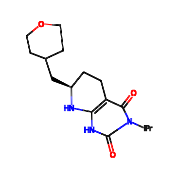 CC(C)n1c(=O)[nH]c2c(c1=O)CC[C@H](CC1CCOCC1)N2